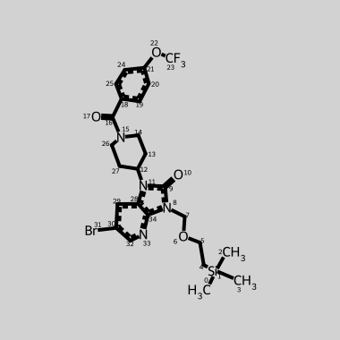 C[Si](C)(C)CCOCn1c(=O)n(C2CCN(C(=O)c3ccc(OC(F)(F)F)cc3)CC2)c2cc(Br)cnc21